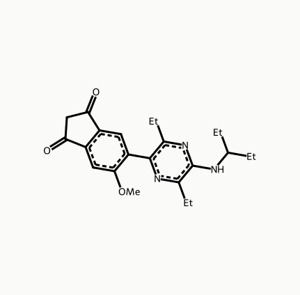 CCc1nc(-c2cc3c(cc2OC)C(=O)CC3=O)c(CC)nc1NC(CC)CC